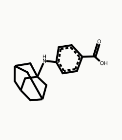 O=C(O)c1ccc(NC23CC4CC(CC(C4)C2)C3)cc1